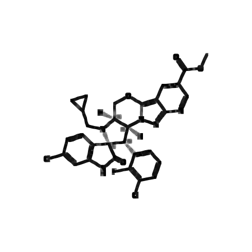 COC(=O)c1cnc2nn3c(c2c1)OC[C@H]1[C@@H]3[C@H](c2cccc(Cl)c2F)[C@]2(C(=O)Nc3cc(Cl)ccc32)N1CC1CC1